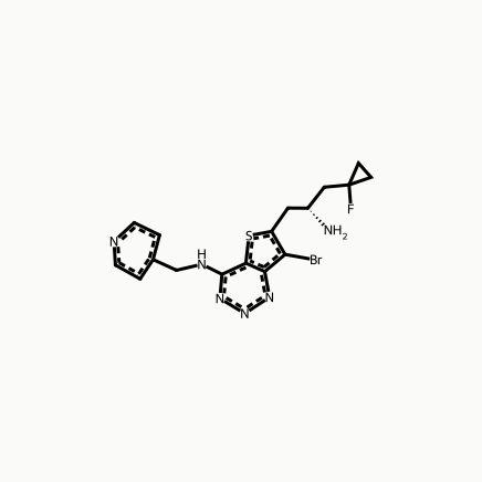 N[C@H](Cc1sc2c(NCc3ccncc3)nnnc2c1Br)CC1(F)CC1